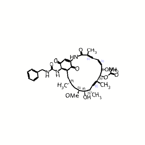 CO[C@H]1/C=C\C=C(/C)C(=O)NC2=CC(=O)C(NC(=O)NCc3ccccc3)=C(C[C@@H](C)C[C@H](OC)[C@H](O)[C@@H](C)/C=C(\C)[C@@H]1OC(N)=O)C2=O